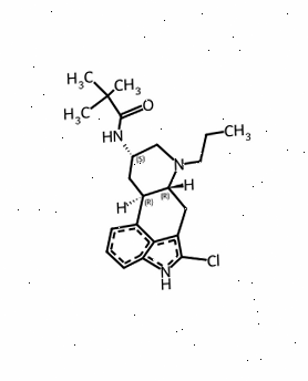 CCCN1C[C@@H](NC(=O)C(C)(C)C)C[C@@H]2c3cccc4[nH]c(Cl)c(c34)C[C@H]21